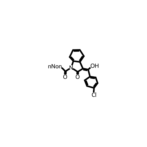 CCCCCCCCCC(=O)N1C(=O)C(=C(O)c2ccc(Cl)cc2)c2ccccc21